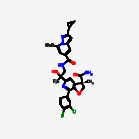 COc1cc(C(=O)NCC(O)(c2cc3c(c(-c4ccc(F)c(Cl)c4)n2)OC[C@]3(C)C(N)=O)C(F)(F)F)cc2cc(C3CC3)nn12